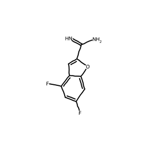 N=C(N)c1cc2c(F)cc(F)cc2o1